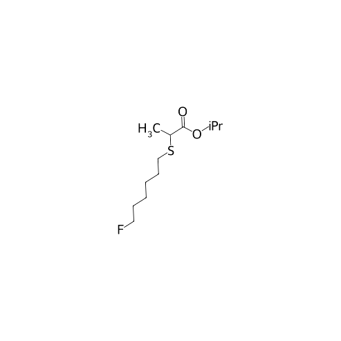 CC(C)OC(=O)C(C)SCCCCCCF